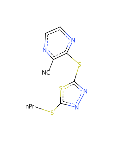 CCCSc1nnc(Sc2nccnc2C#N)s1